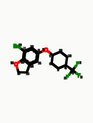 FC(F)(F)[C@H]1CC[C@@H](Oc2cc(Br)c3c(c2)CCO3)CC1